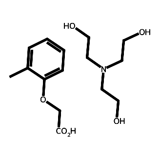 Cc1ccccc1OCC(=O)O.OCCN(CCO)CCO